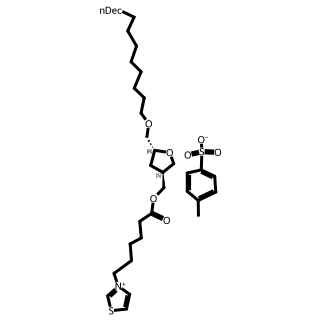 CCCCCCCCCCCCCCCCCCOC[C@H]1C[C@H](COC(=O)CCCCC[n+]2ccsc2)CO1.Cc1ccc(S(=O)(=O)[O-])cc1